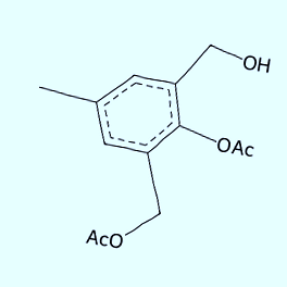 CC(=O)OCc1cc(C)cc(CO)c1OC(C)=O